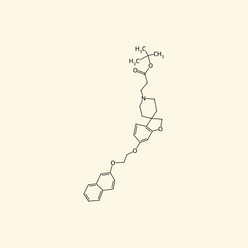 CC(C)(C)OC(=O)CCN1CCC2(CC1)COc1cc(OCCOc3ccc4ccccc4c3)ccc12